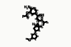 COC1CCN([C@H]2C[C@H]3[C@H](/C(=C/C(=N)c4cnc(N)c(OC(F)F)c4)NC(C)C)C3(C)C2)C1